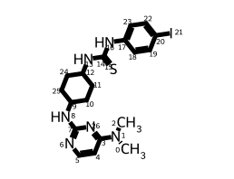 CN(C)c1ccnc(NC2CCC(NC(=S)Nc3ccc(I)cc3)CC2)n1